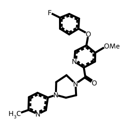 COc1cc(C(=O)N2CCN(c3ccc(C)nc3)CC2)ncc1Oc1ccc(F)cc1